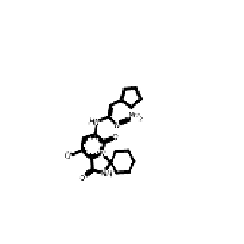 N/C=N\C(=C/C1CCCC1)Nc1cc(Cl)c2n(c1=O)C1(CCCCC1)NC2=O